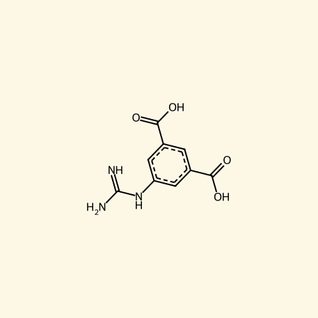 N=C(N)Nc1cc(C(=O)O)cc(C(=O)O)c1